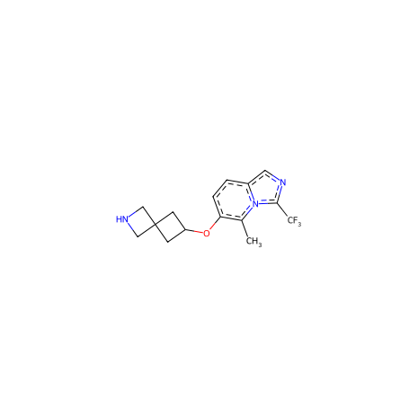 Cc1c(OC2CC3(CNC3)C2)ccc2cnc(C(F)(F)F)n12